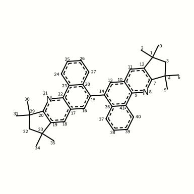 CC1(C)CC(C)(C)c2nc3c(cc21)cc(-c1cc2cc4c(nc2c2ccccc12)C(C)(C)CC4(C)C)c1ccccc13